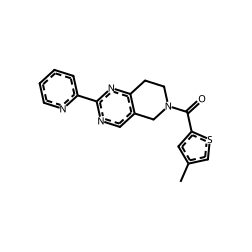 Cc1csc(C(=O)N2CCc3nc(-c4ccccn4)ncc3C2)c1